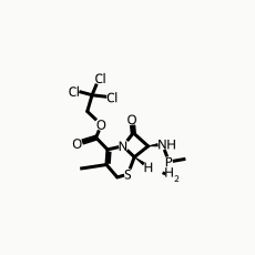 CC1=C(C(=O)OCC(Cl)(Cl)Cl)N2C(=O)[C@@H](N[PH2](C)C)[C@@H]2SC1